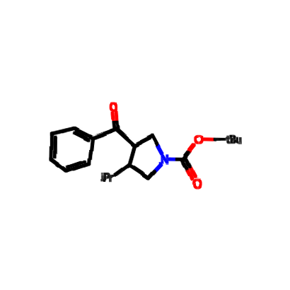 CC(C)C1CN(C(=O)OC(C)(C)C)CC1C(=O)c1ccccc1